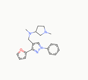 CN1CCC(N(C)Cc2cn(-c3ccccc3)nc2-c2ccco2)C1